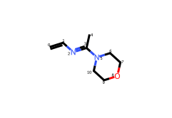 C=CN=C(C)N1CCOCC1